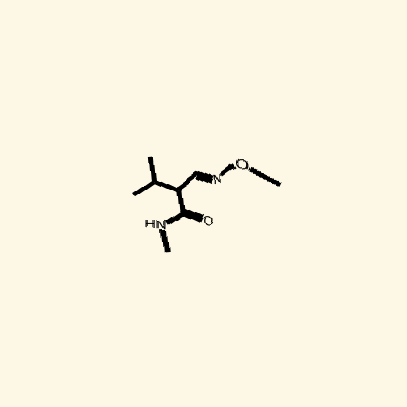 CNC(=O)C(/C=N/OC)C(C)C